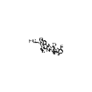 Nc1nc(-c2ncco2)c(-c2ccc(=O)n(CCCO)c2)nc1C(=O)NCc1c(F)cccc1F